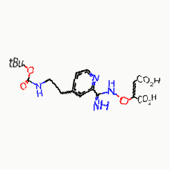 CC(C)(C)OC(=O)NCCc1ccnc(C(=N)NOC(=CC(=O)O)C(=O)O)c1